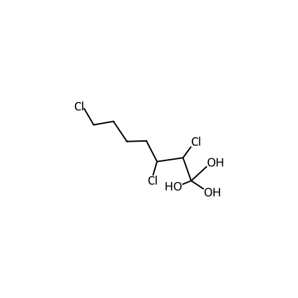 OC(O)(O)C(Cl)C(Cl)CCCCCl